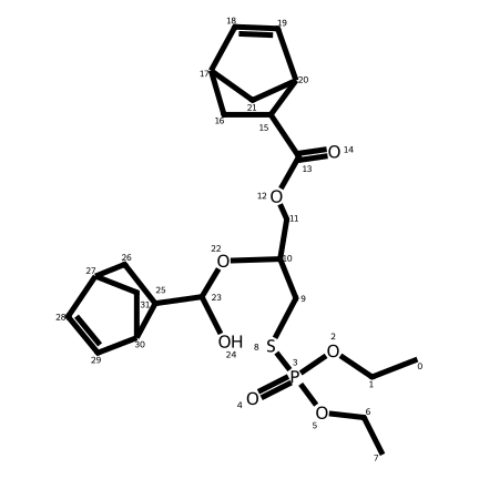 CCOP(=O)(OCC)SCC(COC(=O)C1CC2C=CC1C2)OC(O)C1CC2C=CC1C2